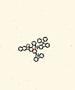 c1ccc(C2(c3ccccc3)c3ccccc3-c3ccc(N(c4cccc(-n5c6ccccc6c6ccccc65)c4)c4ccccc4-c4cccc5c4oc4cc6ccccc6cc45)cc32)cc1